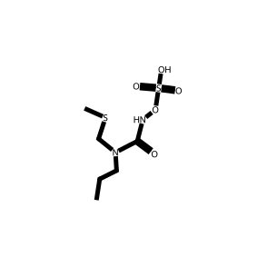 CCCN(CSC)C(=O)NOS(=O)(=O)O